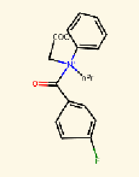 CCC[N+](CC(=O)[O-])(C(=O)c1ccc(F)cc1)c1ccccc1